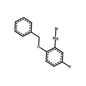 Fc1ccc(OCc2ccccc2)[c]([Mg][Br])c1